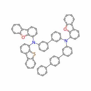 c1ccc(-c2ccc(-c3cccc(N(c4cccc(-c5cccc(N(c6cccc7c6oc6ccccc67)c6cccc7c6sc6ccccc67)c5)c4)c4cccc5c4oc4ccccc45)c3)cc2)cc1